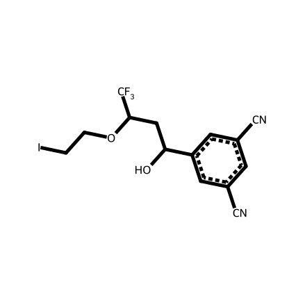 N#Cc1cc(C#N)cc(C(O)CC(OCCI)C(F)(F)F)c1